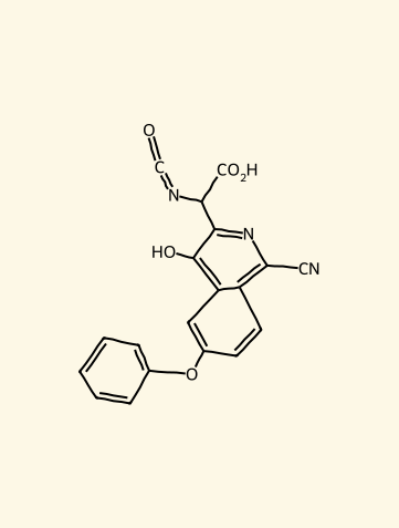 N#Cc1nc(C(N=C=O)C(=O)O)c(O)c2cc(Oc3ccccc3)ccc12